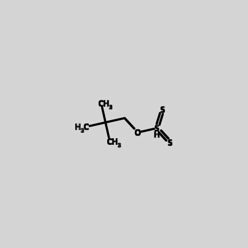 CC(C)(C)CO[SH](=S)=S